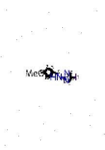 COc1ccc(CNc2ncc(I)cn2)cc1